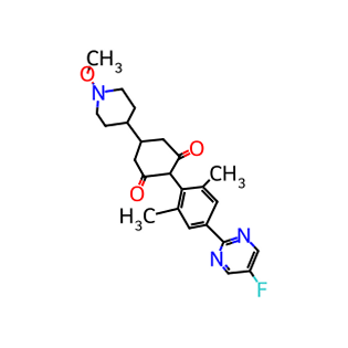 CON1CCC(C2CC(=O)C(c3c(C)cc(-c4ncc(F)cn4)cc3C)C(=O)C2)CC1